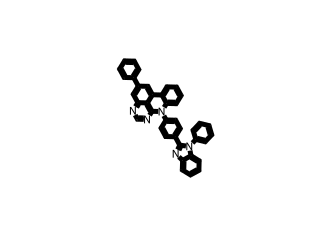 c1ccc(-c2cc3c4c(ncnc4c2)N(c2ccc(-c4nc5ccccc5n4-c4ccccc4)cc2)c2ccccc2-3)cc1